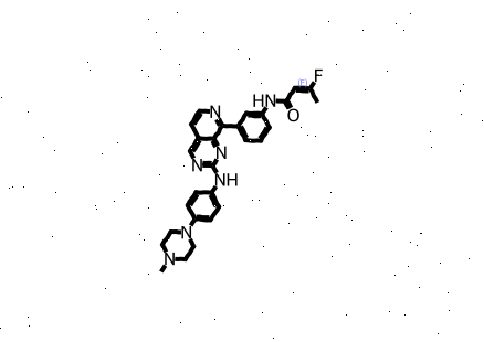 C/C(F)=C\C(=O)Nc1cccc(-c2nccc3cnc(Nc4ccc(N5CCN(C)CC5)cc4)nc23)c1